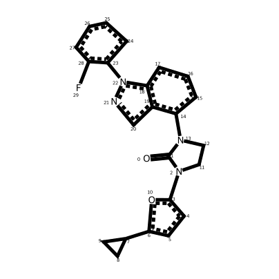 O=C1N(c2ccc(C3CC3)o2)CCN1c1cccc2c1cnn2-c1ccccc1F